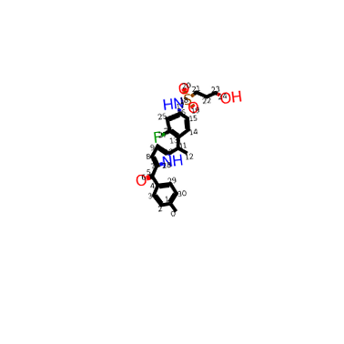 Cc1ccc(C(=O)c2ccc(C(C)c3ccc(NS(=O)(=O)CCCO)cc3F)[nH]2)cc1